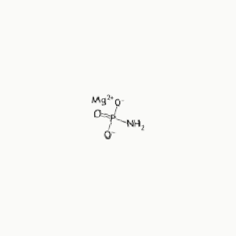 NP(=O)([O-])[O-].[Mg+2]